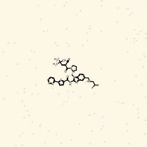 CC(C)(C)C=C(C#N)C(=O)N1CCC[C@@H]1Cn1c(NC(=O)c2ccc(-c3cccnn3)s2)nc2cc(CNCC(F)F)ccc21